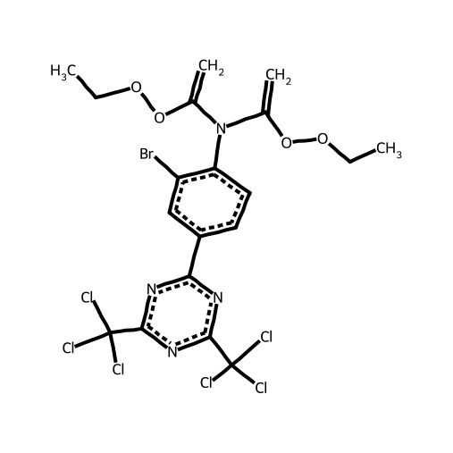 C=C(OOCC)N(C(=C)OOCC)c1ccc(-c2nc(C(Cl)(Cl)Cl)nc(C(Cl)(Cl)Cl)n2)cc1Br